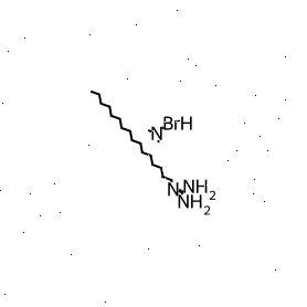 Br.CCCCCCCCCCCCCCCCN=C(N)N.CN(C)C